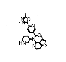 Cc1nnc(-c2ccc(C(=O)N(c3nccc4scc(C)c34)[C@@H]3CCCNC3)cn2)o1